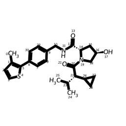 Cc1ccsc1-c1ccc(CNC(=O)[C@@H]2C[C@@H](O)CN2C(=O)[C@@H](C(C)C)C2CC2)cc1